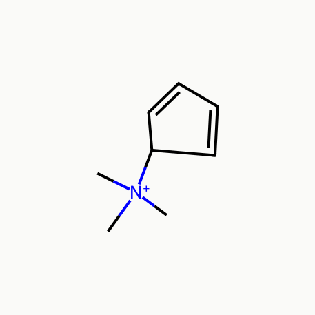 C[N+](C)(C)C1C=CC=C1